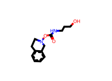 O=C(NCCCO)ON1CCc2ccccc2C1